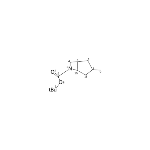 CC1CC2CN(C(=O)OC(C)(C)C)C2C1